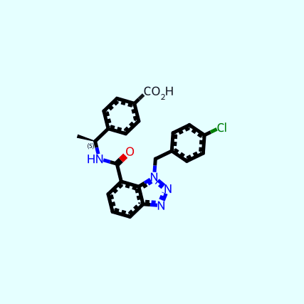 C[C@H](NC(=O)c1cccc2nnn(Cc3ccc(Cl)cc3)c12)c1ccc(C(=O)O)cc1